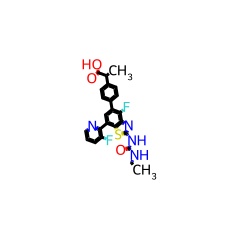 CCNC(=O)Nc1nc2c(F)c(-c3ccc(C(C)C(=O)O)cc3)cc(-c3ncccc3F)c2s1